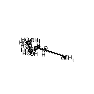 CCC(O)CCCCCCCCCCCCC(=O)NCCc1c[nH]c2ccc(O[C@H]3OC(CO[C@H]4OC(CO)[C@@H](O)[C@H](O)C4O)[C@@H](O)[C@H](O)C3O)cc12